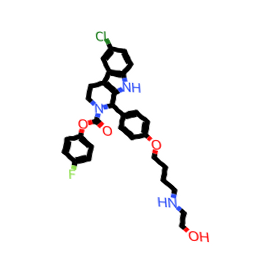 O=C(Oc1ccc(F)cc1)N1CCc2c([nH]c3ccc(Cl)cc23)C1c1ccc(OCCCCNCCO)cc1